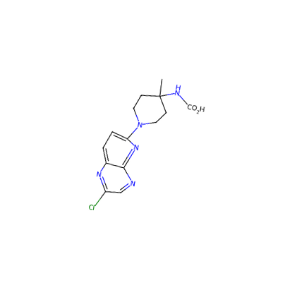 CC1(NC(=O)O)CCN(c2ccc3nc(Cl)cnc3n2)CC1